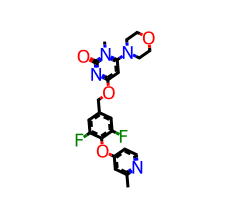 Cc1cc(Oc2c(F)cc(COc3cc(N4CCOCC4)n(C)c(=O)n3)cc2F)ccn1